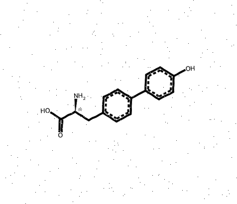 N[C@@H](Cc1ccc(-c2ccc(O)cc2)cc1)C(=O)O